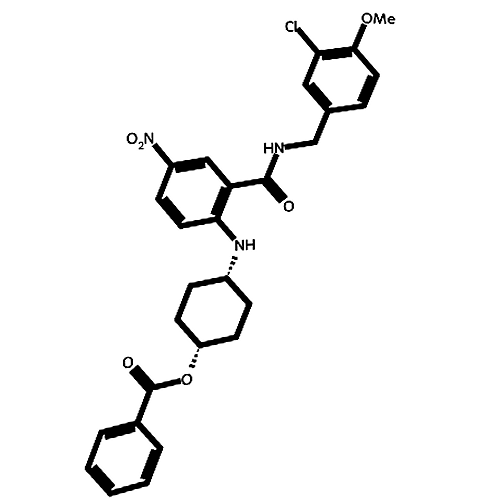 COc1ccc(CNC(=O)c2cc([N+](=O)[O-])ccc2N[C@H]2CC[C@@H](OC(=O)c3ccccc3)CC2)cc1Cl